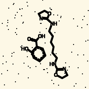 C(CCCNC1=NCCO1)CCNC1=NCCO1.O=C(O)c1ccccc1O